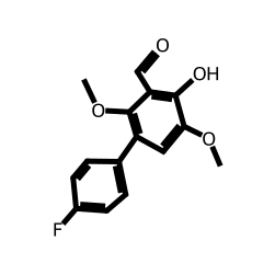 COc1cc(-c2ccc(F)cc2)c(OC)c(C=O)c1O